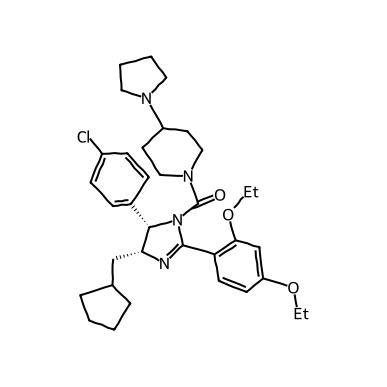 CCOc1ccc(C2=N[C@H](CC3CCCC3)[C@H](c3ccc(Cl)cc3)N2C(=O)N2CCC(N3CCCC3)CC2)c(OCC)c1